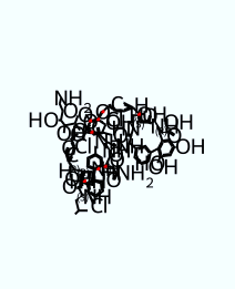 CN[C@@H](CC(C)C)C(=O)N[C@H]1C(=O)N[C@@H](CC(N)=O)C(=O)NC2C(=O)NC3C(=O)N[C@H](C(=O)N[C@@H](C(=O)O)c4cc(O)cc(O)c4-c4cc3ccc4O)[C@H](O)c3ccc(c(Cl)c3)Oc3cc2cc(c3OC2OC(CN)C(O)C(O)C2OC2CC(C)(NCc3ccc(-c4ccc(Cl)cc4)cc3)C(O)C(C)O2)Oc2ccc(cc2Cl)[C@H]1O